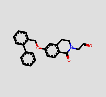 O=CCN1CCc2cc(OCc3ccccc3-c3ccccc3)ccc2C1=O